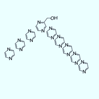 OCc1cnccn1.c1cnccn1.c1cnccn1.c1cnccn1.c1cnccn1.c1cnccn1.c1cnccn1.c1cnccn1.c1cnccn1